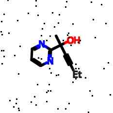 CCC#CC(C)(O)c1ncccn1